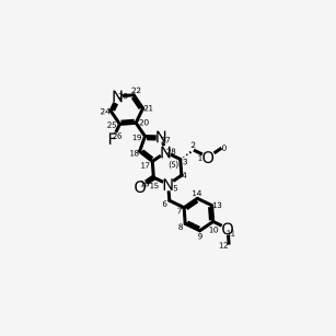 COC[C@@H]1CN(Cc2ccc(OC)cc2)C(=O)c2cc(-c3ccncc3F)nn21